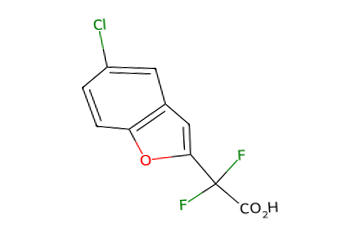 O=C(O)C(F)(F)c1cc2cc(Cl)ccc2o1